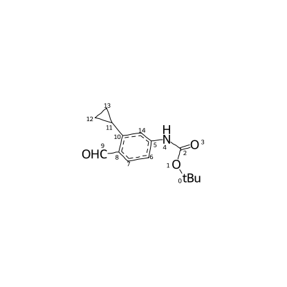 CC(C)(C)OC(=O)Nc1ccc(C=O)c(C2CC2)c1